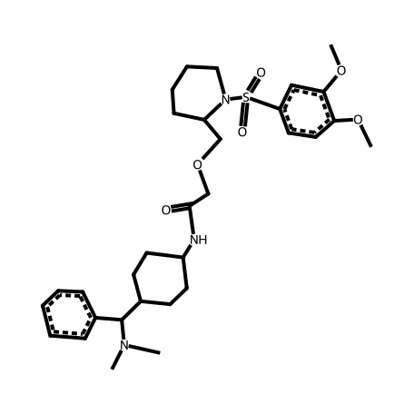 COc1ccc(S(=O)(=O)N2CCCCC2COCC(=O)NC2CCC(C(c3ccccc3)N(C)C)CC2)cc1OC